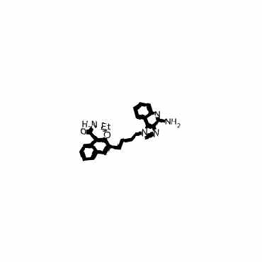 CCOc1c(CCCCn2cnc3c(N)nc4ccccc4c32)cc2ccccc2c1C(N)=O